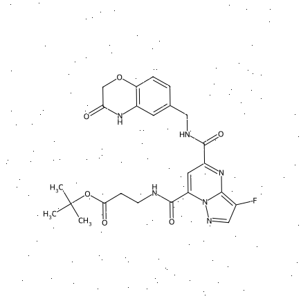 CC(C)(C)OC(=O)CCNC(=O)c1cc(C(=O)NCc2ccc3c(c2)NC(=O)CO3)nc2c(F)cnn12